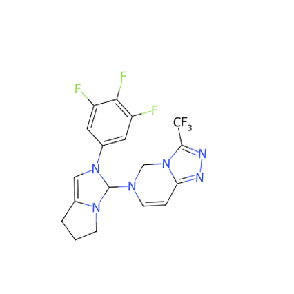 Fc1cc(N2C=C3CCCN3C2N2C=Cc3nnc(C(F)(F)F)n3C2)cc(F)c1F